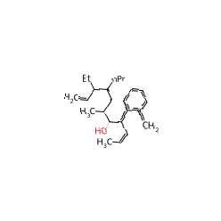 C=CC(CC)C(CCC)CC(C)[C@@H](O)C(/C=C\C)=c1\ccccc1=C